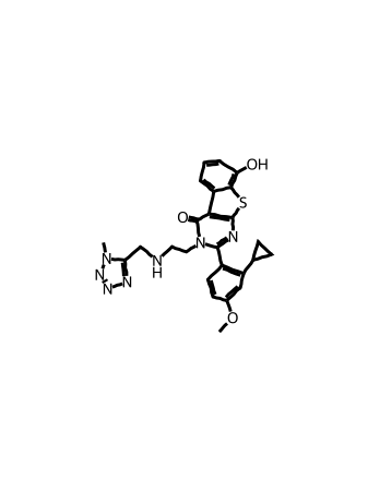 COc1ccc(-c2nc3sc4c(O)cccc4c3c(=O)n2CCNCc2nnnn2C)c(C2CC2)c1